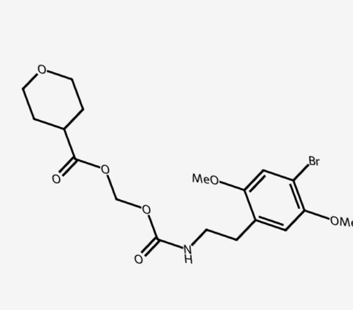 COc1cc(CCNC(=O)OCOC(=O)C2CCOCC2)c(OC)cc1Br